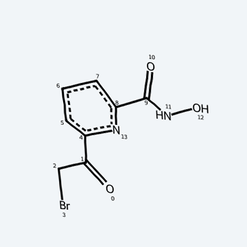 O=C(CBr)c1cccc(C(=O)NO)n1